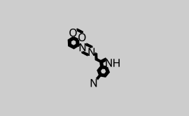 N#Cc1ccc2[nH]cc(CCN3CCN(c4cccc5c4OCCO5)CC3)c2c1